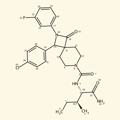 CC[C@H](C)[C@H](NC(=O)N1CCC2(CC1)C(=O)N(c1cccc(F)c1)C2c1ccc(Cl)cc1)C(N)=O